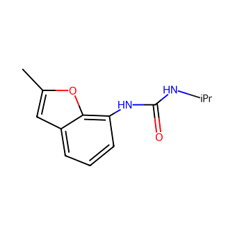 Cc1cc2cccc(NC(=O)NC(C)C)c2o1